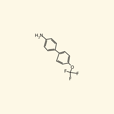 Nc1ccc(-c2ccc(OC(F)(F)F)cc2)cc1